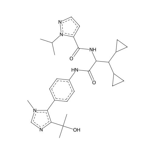 CC(C)n1nccc1C(=O)NC(C(=O)Nc1ccc(-c2c(C(C)(C)O)ncn2C)cc1)C(C1CC1)C1CC1